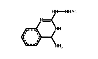 CC(=O)NNC1=Nc2ccccc2C(N)N1